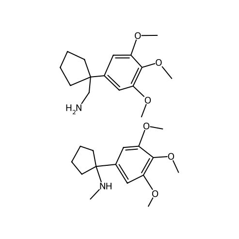 CNC1(c2cc(OC)c(OC)c(OC)c2)CCCC1.COc1cc(C2(CN)CCCC2)cc(OC)c1OC